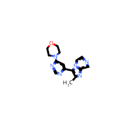 Cc1nc2cnccn2c1-c1cc(N2CCOCC2)ncn1